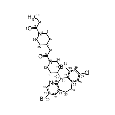 CCC(=O)N1CCC(CC(=O)N2CCC([C@H]3c4ncc(Br)cc4CCc4cc(Cl)cc(Br)c43)CC2)CC1